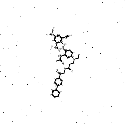 CCN(CCC(=O)OCC(=O)c1ccc(-c2ccccc2)cc1)c1ccc(N=Nc2c(C#N)cc([N+](=O)[O-])cc2[N+](=O)[O-])c(NC(C)=O)c1